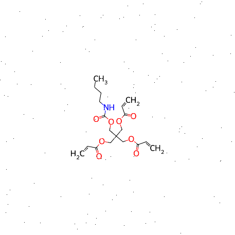 C=CC(=O)OCC(COC(=O)C=C)(COC(=O)C=C)COC(=O)NCCCC